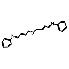 C(=CCOCC=CC=Nc1ccccc1)C=Nc1ccccc1